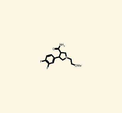 COCCN1CC(C(N)=O)C(c2ccc(F)c(F)c2)C1